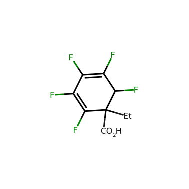 CCC1(C(=O)O)C(F)=C(F)C(F)=C(F)C1F